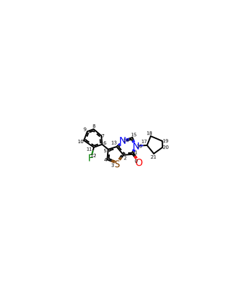 O=c1c2scc(-c3ccccc3F)c2ncn1C1CCCC1